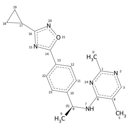 Cc1ncc(C)c(N[C@@H](C)c2ccc(-c3nc(C4CC4)no3)cc2)n1